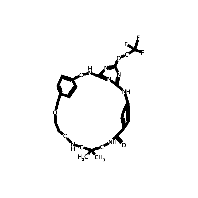 CC1(C)CNCCCOc2ccc(cc2)CNc2nc(nc(OCC(F)(F)F)n2)Nc2ccc(cc2)C(=O)NC1